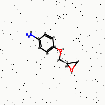 Nc1ccc(OC[C@@H]2CO2)cc1